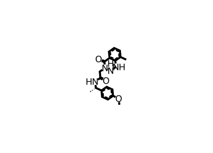 COc1ccc([C@H](C)NC(=O)CN2NNc3c(C)cccc3C2=O)cc1